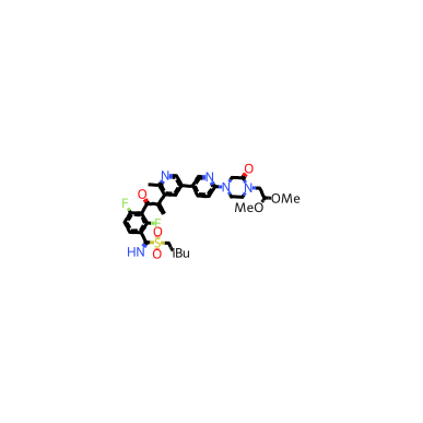 C=C(C(=O)c1c(F)ccc(C(=N)S(=O)(=O)CC(C)CC)c1F)c1cc(-c2ccc(N3CCN(CC(OC)OC)C(=O)C3)nc2)cnc1C